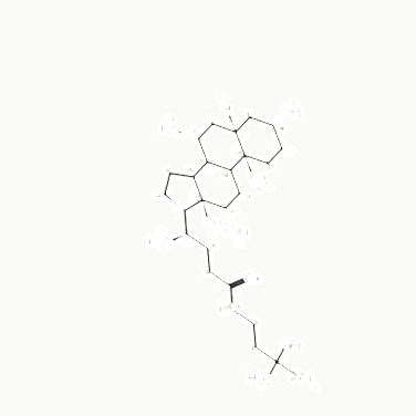 CCCC(C)(N)CCNC(=O)CC[C@@H](C)[C@H]1CCC2C3C(C[C@H](O)[C@@]21C)[C@@]1(C)CC[C@@H](O)C[C@H]1C[C@H]3O